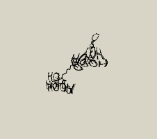 O=C(CCCCCC(CSC1CCCCC1)C(O)C(CO)(CO)CO)CCCCCC(CSC1CCCCC1)C(O)C(CO)(CO)CO